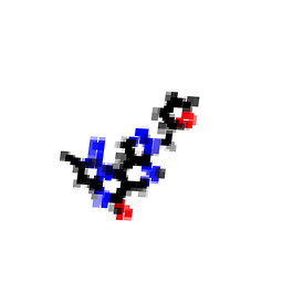 Cc1cc2nc(=O)c3cnc4c(cnn4Cc4ccco4)c3n2[nH]1